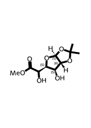 COC(=O)C(O)[C@H]1O[C@H]2OC(C)(C)O[C@@H]2[C@H]1O